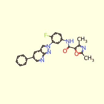 Cc1nc(C)c(C(=O)Nc2ccc(F)c(-n3cc4cc(-c5ccccc5)cnc4n3)c2)o1